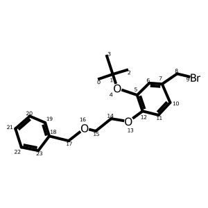 CC(C)(C)Oc1cc(CBr)ccc1OCCOCc1ccccc1